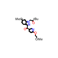 COCCOc1ccc(C(=O)c2nn(CC(=O)C(C)(C)C)c3cc(OC)ccc23)cn1